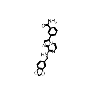 NC(=O)c1cccc(-c2cnc3c(NCc4ccc5c(c4)OCO5)nccn23)c1